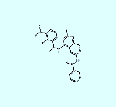 Cc1nc(NC(C)c2cccc(C(F)F)c2F)c2cc(NC(=O)c3ccccc3)cnc2n1